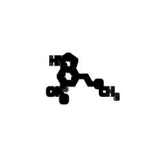 COCCc1cc([N+](=O)[O-])cc2[nH]ccc12